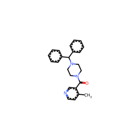 Cc1ccncc1C(=O)N1CCN(C(c2ccccc2)c2ccccc2)CC1